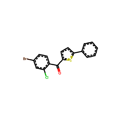 O=C(c1ccc(-c2ccccc2)s1)c1ccc(Br)cc1Cl